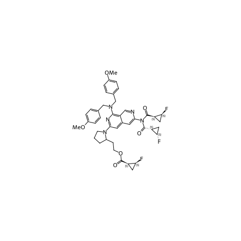 COc1ccc(CN(Cc2ccc(OC)cc2)c2nc(N3CCCC3CCOC(=O)[C@@H]3C[C@@H]3F)cc3cc(N(C(=O)[C@@H]4C[C@@H]4F)C(=O)[C@@H]4C[C@@H]4F)ncc23)cc1